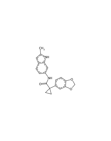 Cc1cc2ccc(NC(=O)C3(c4ccc5c(c4)OCO5)CC3)cc2[nH]1